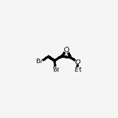 CCOC1OC1C(Br)CBr